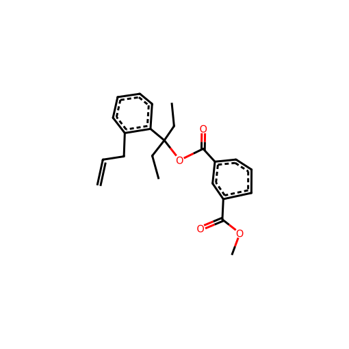 C=CCc1ccccc1C(CC)(CC)OC(=O)c1cccc(C(=O)OC)c1